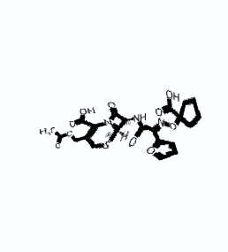 CC(=O)OCC1=C(C(=O)O)N2C(=O)[C@@H](NC(=O)C(=NOC3(C(=O)O)CCCC3)c3ccco3)[C@H]2SC1